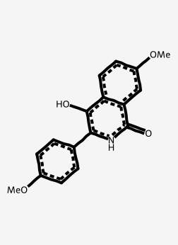 COc1ccc(-c2[nH]c(=O)c3cc(OC)ccc3c2O)cc1